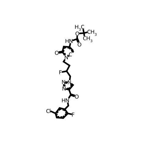 CC(C)(C)OC(=O)Nc1ccn(CCC(F)Cn2cc(C(=O)NCc3cc(Cl)ccc3F)nn2)c(=O)c1